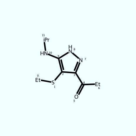 CCSc1c(C(=O)CC)n[nH]c1NC(C)C